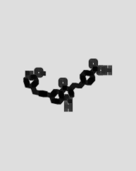 COc1cc(CC#Cc2ccc3[nH]cc(CCc4ccc(C(=O)O)cc4)c(=O)c3c2)ccn1